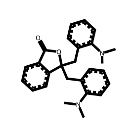 CN(C)c1ccccc1CC1(Cc2ccccc2N(C)C)OC(=O)c2ccccc21